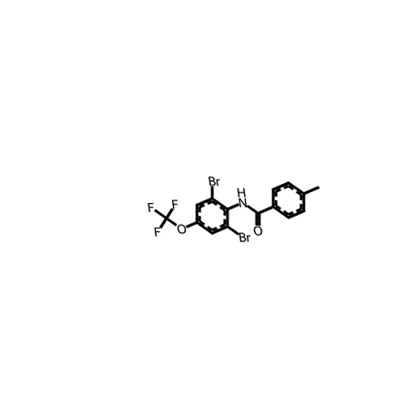 Cc1ccc(C(=O)Nc2c(Br)cc(OC(F)(F)F)cc2Br)cc1